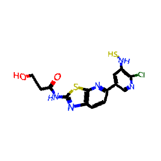 O=C(CCO)Nc1nc2ccc(-c3cnc(Cl)c(NS)c3)nc2s1